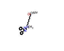 COC(=O)CCCCCCCCN(C)c1cnc(-c2ccccc2)c(-c2ccccc2)n1